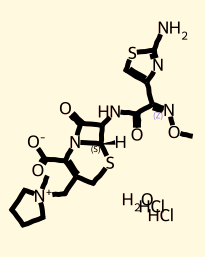 CO/N=C(\C(=O)NC1C(=O)N2C(C(=O)[O-])=C(C[N+]3(C)CCCC3)CS[C@@H]12)c1csc(N)n1.Cl.Cl.O